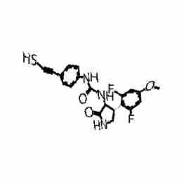 COc1cc(F)c([C@@H]2CNC(=O)[C@H]2NC(=O)Nc2ccc(C#CS)cc2)c(F)c1